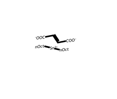 CCCCCCC[CH2][Sn+2][CH2]CCCCCCC.O=C([O-])/C=C/C(=O)[O-]